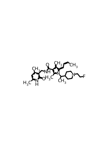 C=c1c(C(=O)NCc2c(C)cc(C)[nH]c2=O)c(C)n(C(C)C2CCN(CCF)CC2)/c1=C/C=C\C